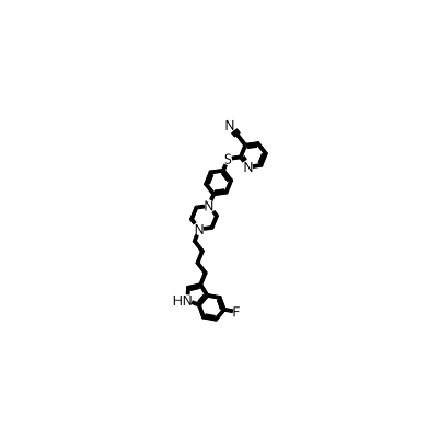 N#Cc1cccnc1Sc1ccc(N2CCN(CCCCc3c[nH]c4ccc(F)cc34)CC2)cc1